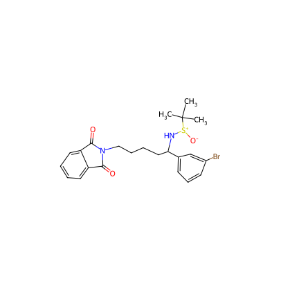 CC(C)(C)[S+]([O-])NC(CCCCN1C(=O)c2ccccc2C1=O)c1cccc(Br)c1